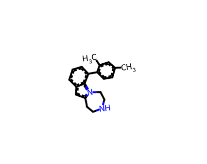 Cc1ccc(-c2cccc3cc4n(c23)CCNCC4)c(C)c1